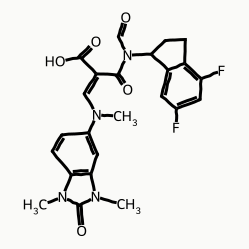 CN(/C=C(/C(=O)O)C(=O)N(C=O)C1CCc2c(F)cc(F)cc21)c1ccc2c(c1)n(C)c(=O)n2C